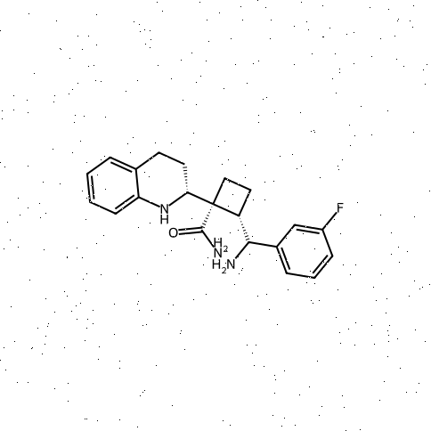 NC(=O)[C@]1([C@H]2CCc3ccccc3N2)CC[C@@H]1C(N)c1cccc(F)c1